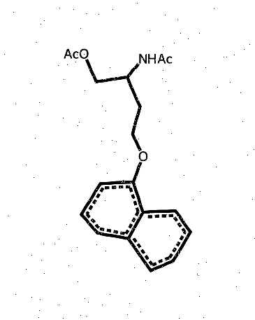 CC(=O)NC(CCOc1cccc2ccccc12)COC(C)=O